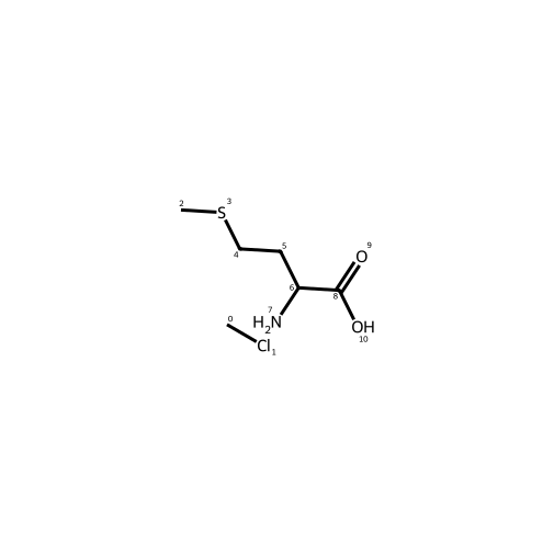 CCl.CSCCC(N)C(=O)O